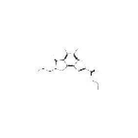 CCCC1Cc2c(c(C)c(C)c3oc(C(=O)NCC)cc23)C1=O